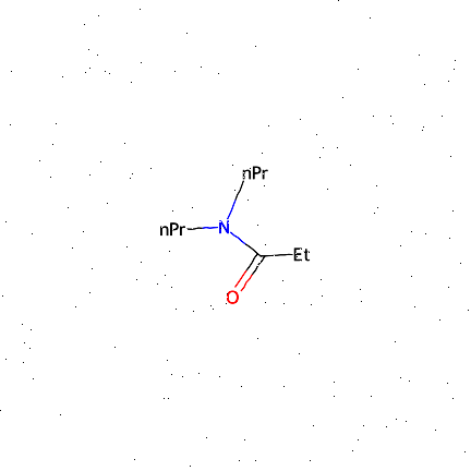 [CH2]CC(=O)N(CCC)CCC